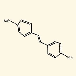 CNc1ccc(/C=C/c2ccc(N)cc2)cc1